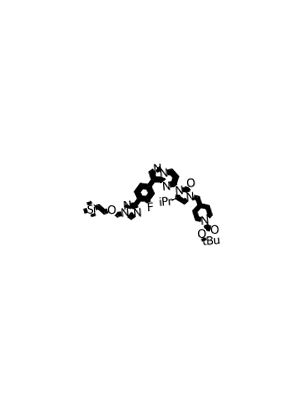 CC(C)[C@H]1CN(CC2CCN(C(=O)OC(C)(C)C)CC2)C(=O)N1c1ccn2ncc(-c3ccc(-c4ncn(COCC[Si](C)(C)C)n4)c(F)c3)c2n1